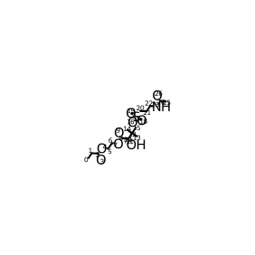 CCC(=O)OCCOC(=O)[C@H](O)C(C)(C)COS(=O)(=O)CCCNC(C)=O